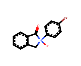 O=C1c2ccccc2C[N+]1([O-])c1ccc(Br)cc1